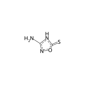 Nc1noc(=S)[nH]1